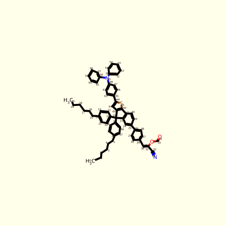 CCCCCCc1ccc(C2(c3ccc(CCCCCC)cc3)c3cc(-c4ccc(/C=C(/C#N)OC=O)cc4)ccc3-c3sc(-c4ccc(N(c5ccccc5)c5ccccc5)cc4)cc32)cc1